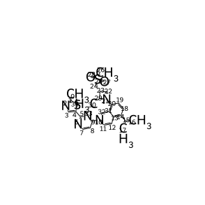 Cc1ncc(-c2nccc(N3C=Cc4c(C(C)C)ccc(N5C[C@@H](CS(C)(=O)=O)[C@@H]5C)c4C3)n2)s1